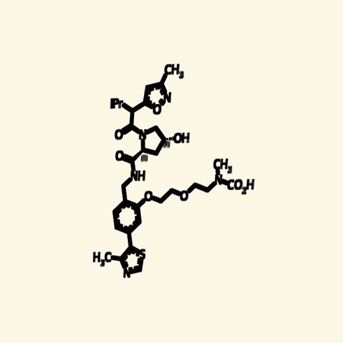 Cc1cc(C(C(=O)N2C[C@H](O)C[C@H]2C(=O)NCc2ccc(-c3scnc3C)cc2OCCOCCN(C)C(=O)O)C(C)C)on1